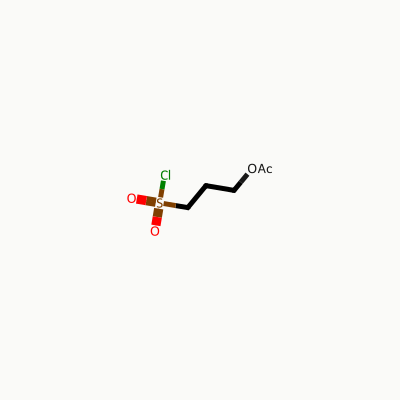 CC(=O)OCCCS(=O)(=O)Cl